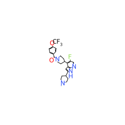 CN1CCC(c2cc3c(C4CCN(C(=O)c5ccc(OC(F)(F)F)cc5)CC4)c(F)cnc3[nH]2)CC1